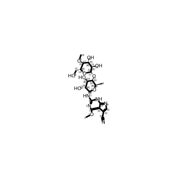 COc1nc(N[C@H]2O[C@H](C)[C@@H](O[C@@H]3O[C@H](CO)[C@@H](OC)[C@H](O)[C@H]3O)[C@H](O)[C@H]2O)[nH]c2ncc(C#N)c1-2